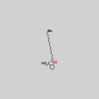 CCC(C)CCCCCCCCCCCCCCOC(=O)C1CCCCC1C(=O)O